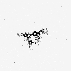 CCS(=O)(=O)n1cc(CN(C)C)c2ccc(-c3nc(Nc4cc(C)[nH]n4)c4cc(C)sc4n3)cc21